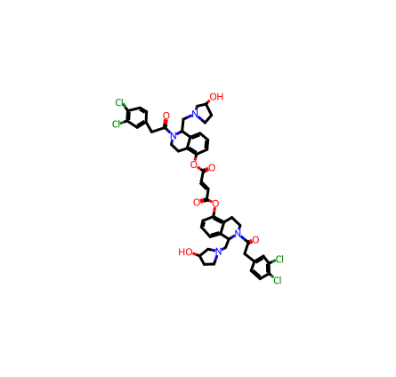 O=C(/C=C/C(=O)Oc1cccc2c1CCN(C(=O)Cc1ccc(Cl)c(Cl)c1)C2CN1CCC(O)C1)Oc1cccc2c1CCN(C(=O)Cc1ccc(Cl)c(Cl)c1)C2CN1CCC(O)C1